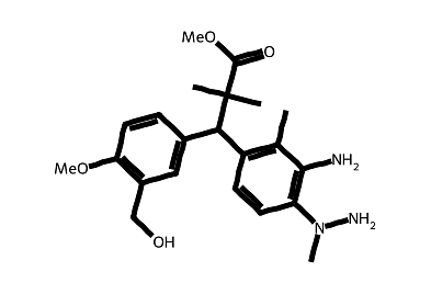 COC(=O)C(C)(C)C(c1ccc(OC)c(CO)c1)c1ccc(N(C)N)c(N)c1C